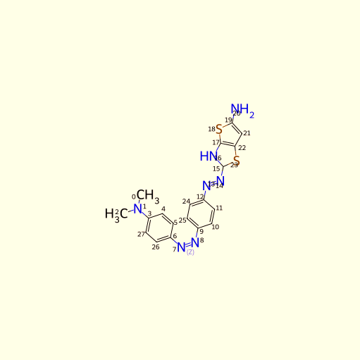 CN(C)c1ccc(/N=N\c2ccc(N=NC3Nc4sc(N)cc4S3)cc2)cc1